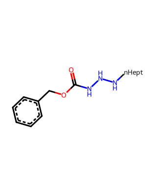 CCCCCCCNNNC(=O)OCc1ccccc1